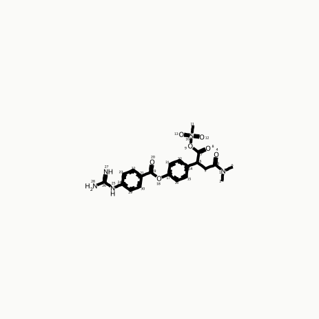 CN(C)C(=O)CC(C(=O)OS(C)(=O)=O)c1ccc(OC(=O)c2ccc(NC(=N)N)cc2)cc1